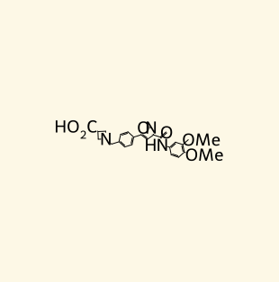 COc1ccc(NC(=O)c2cc(-c3ccc(CN4CC(C(=O)O)C4)cc3)on2)cc1OC